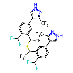 FC(F)c1ccc(-c2c[nH]nc2C(F)(F)F)cc1C(SC(c1cc(-c2c[nH]nc2C(F)(F)F)ccc1C(F)F)C(F)(F)F)C(F)(F)F